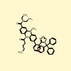 CCCCC(=O)Nc1ccc(C(=O)N(CC)CC)cc1N(C)c1ccc(-c2ccccc2-c2nnnn2C(c2ccccc2)(c2ccccc2)c2ccccc2)cc1